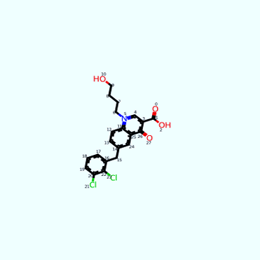 O=C(O)c1cn(CCCCO)c2ccc(Cc3cccc(Cl)c3Cl)cc2c1=O